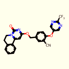 N#Cc1cc(COc2cc3n(c(=O)n2)CCc2ccccc2-3)ccc1Oc1cnc(C(F)(F)F)nc1